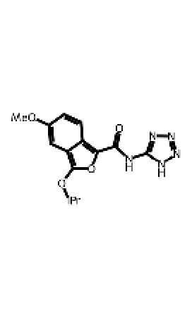 COc1ccc2c(C(=O)Nc3nnn[nH]3)oc(OC(C)C)c2c1